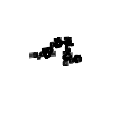 Cc1nc(-c2nnn(C)c2COc2ncc(Cl)c(O[C@@H]3CCOC3)n2)ccc1O[C@H]1C[C@@H]2CC[C@H](C(=O)O)[C@@H]2C1